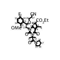 CCOC(=O)c1sc2c(c1C)c(=O)n(C(C)(C)C(=O)N1CCCC1)c(=O)n2C[C@H](OCCC#N)c1cc(F)ccc1OC